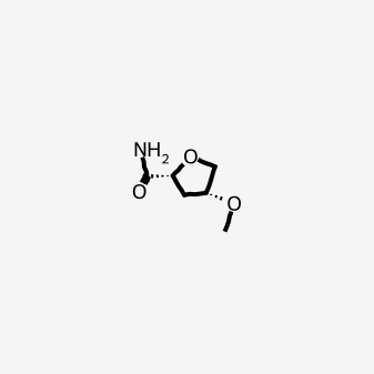 CO[C@H]1CO[C@@H](C(N)=O)C1